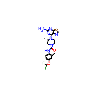 Cc1cc(OC(F)F)ccc1NC(=O)N1CCN(c2nc(N)nc3scnc23)[C@@H](C)C1